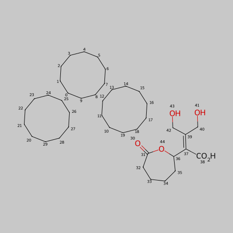 C1CCCCCCCCC1.C1CCCCCCCCC1.C1CCCCCCCCC1.O=C1CCCCC(C(C(=O)O)=C(CO)CO)O1